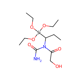 CCO[Si](OCC)(OCC)C(CC)N(C(N)=O)C(=O)CO